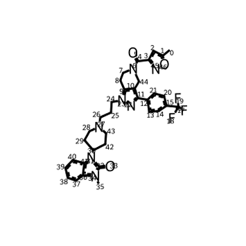 Cc1cc(C(=O)N2CCc3c(c(-c4ccc(C(F)(F)F)cc4)nn3CCCN3CCC(n4c(=O)n(C)c5ccccc54)CC3)C2)no1